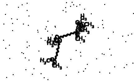 CCC(=O)O.CCC(=O)O.CCOC(CCCCCCCC=CC(OC)OC(C=CCCCCCCCC(OCC)OCC)OC)OCC